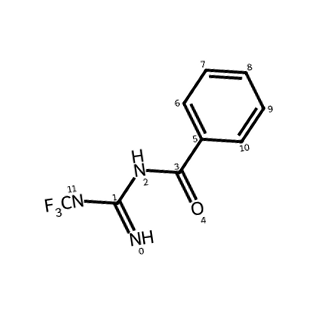 N=C(NC(=O)c1ccccc1)NC(F)(F)F